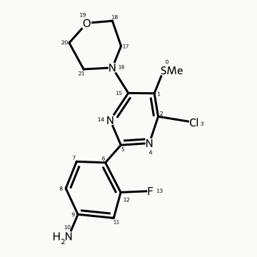 CSc1c(Cl)nc(-c2ccc(N)cc2F)nc1N1CCOCC1